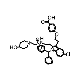 O=C(O)c1ccc(OCCc2c(CCNS(=O)(=O)CCN3CCC(O)CC3)n(C(c3ccccc3)c3ccccc3)c3ccc(Cl)cc23)cc1